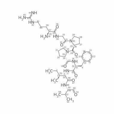 CC[C@H](C)[C@H](NC(=O)[C@H](Cc1ccccc1)NC(=O)[C@@H]1CCCN1C(=O)[C@@H]1CCCN1C(=O)CNC(=O)[C@@H](N)CCCNC(=N)N)C(=O)N[C@H]([C]=O)C(C)C